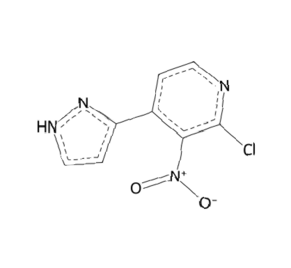 O=[N+]([O-])c1c(-c2cc[nH]n2)ccnc1Cl